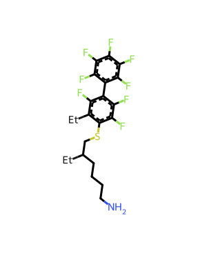 CCc1c(F)c(-c2c(F)c(F)c(F)c(F)c2F)c(F)c(F)c1SCC(CC)CCCCN